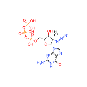 C[C@@]1(N=[N+]=[N-])[C@H](O)[C@@H](COP(=O)(O)OP(=O)(O)OP(=O)(O)O)O[C@H]1n1cnc2c(=O)[nH]c(N)nc21